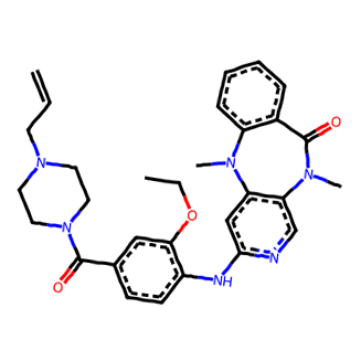 C=CCN1CCN(C(=O)c2ccc(Nc3cc4c(cn3)N(C)C(=O)c3ccccc3N4C)c(OCC)c2)CC1